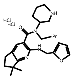 CC(C)CN(C(=O)c1cc2c(nc1NCc1ccco1)C(C)(C)CC2)C1CCCNC1.Cl.Cl